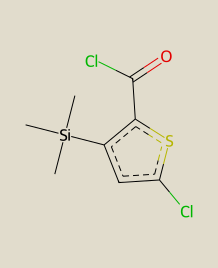 C[Si](C)(C)c1cc(Cl)sc1C(=O)Cl